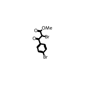 COC(=O)C(Br)C(=O)c1ccc(Br)cc1